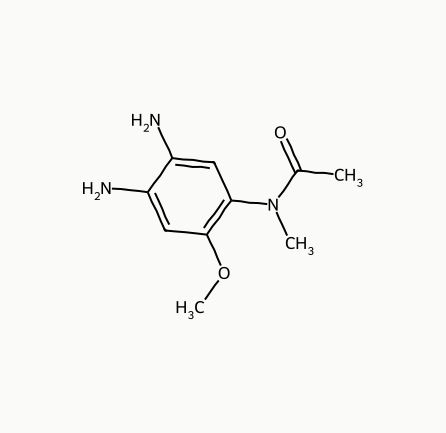 COc1cc(N)c(N)cc1N(C)C(C)=O